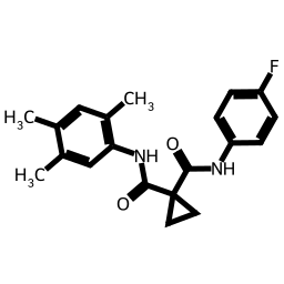 Cc1cc(C)c(NC(=O)C2(C(=O)Nc3ccc(F)cc3)CC2)cc1C